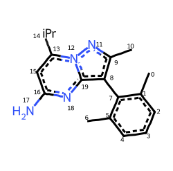 Cc1cccc(C)c1-c1c(C)nn2c(C(C)C)cc(N)nc12